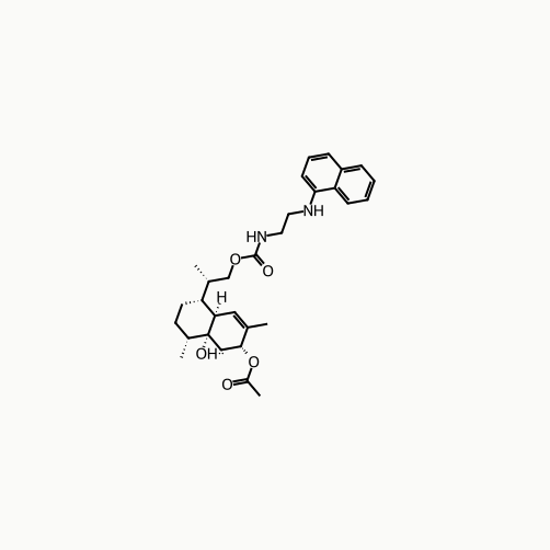 CC(=O)O[C@@H]1[C][C@@]2(O)[C@H](C)CC[C@H]([C@H](C)COC(=O)NCCNc3cccc4ccccc34)[C@H]2C=C1C